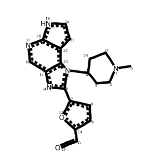 CN1CCC(n2c(-c3ccc(C=O)o3)nc3cnc4[nH]ccc4c32)CC1